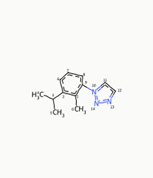 Cc1c(C(C)C)cccc1-n1ccnn1